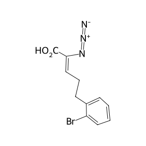 [N-]=[N+]=NC(=CCCc1ccccc1Br)C(=O)O